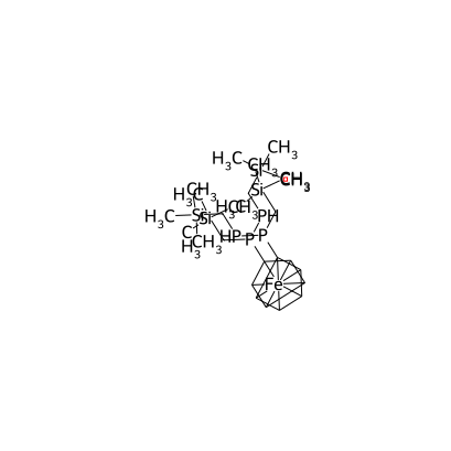 C[Si](C)(C)CPP(C[Si](C)(C)C)[C]12[CH]3[CH]4[CH]5[CH]1[Fe]45321678[CH]2[CH]1[CH]6[C]7(P(C[Si](C)(C)C)PC[Si](C)(C)C)[CH]28